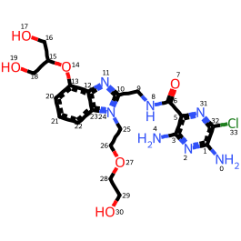 Nc1nc(N)c(C(=O)NCc2nc3c(OC(CO)CO)cccc3n2CCOCCO)nc1Cl